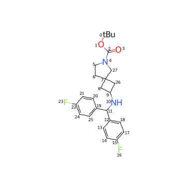 CC(C)(C)OC(=O)N1CCC2(CC(NC(c3ccc(F)cc3)c3ccc(F)cc3)C2)C1